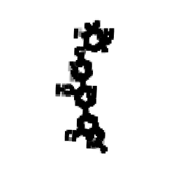 Cn1cc2cc(-c3cnc(-c4ccc(O[C@H]5CC(C)(C)NC(C)(C)[C@H]5F)nn4)c(O)c3)cc(Cl)c2n1